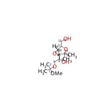 COC(C)(C)OCC(O)[C@@]12O[C@@H]1C(CO)OC2(C)C